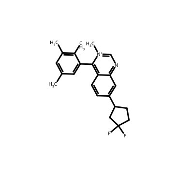 Cc1cc(C)c(C)c(-c2c3ccc(C4CCC(F)(F)C4)cc3nc[n+]2C)c1